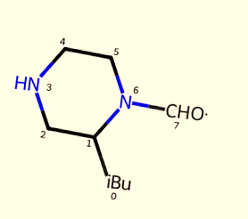 CCC(C)C1CNCCN1[C]=O